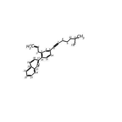 C=CCc1cc(C#CCCCC(C)F)ccc1-c1ccc2ccccc2n1